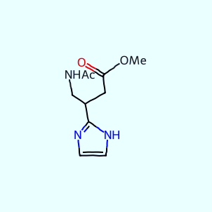 COC(=O)CC(CNC(C)=O)c1ncc[nH]1